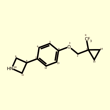 FC(F)(F)C1(COc2ccc(C3CNC3)cc2)CC1